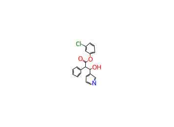 O=C(Oc1cccc(Cl)c1)C(c1ccccc1)C(O)c1cccnc1